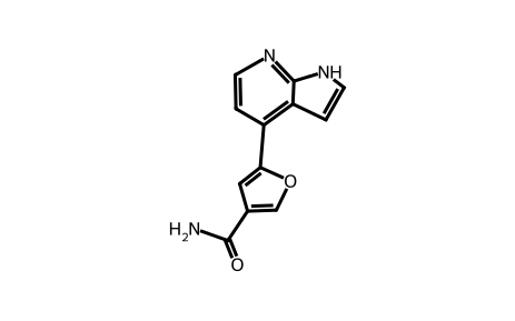 NC(=O)c1coc(-c2ccnc3[nH]ccc23)c1